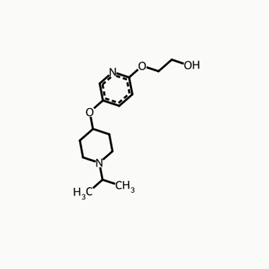 CC(C)N1CCC(Oc2ccc(OCCO)nc2)CC1